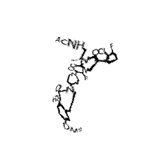 COc1ccc2c(c1)CCN(C1CCN(C(=O)C(F)n3cc(-c4cccc(F)c4Cl)c(=O)n([C@@H](C)CNC(C)=O)c3=O)CC1)C(=O)N2